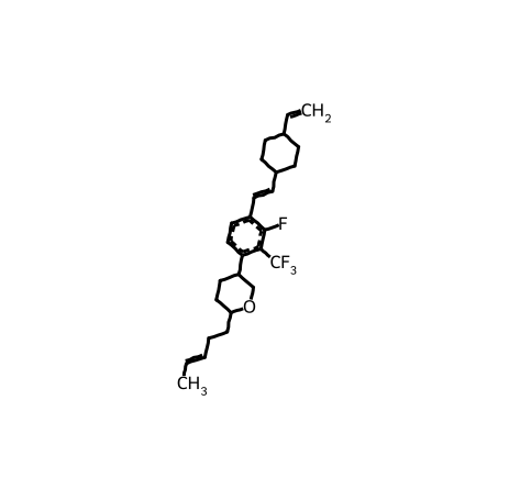 C=CC1CCC(/C=C/c2ccc(C3CCC(CC/C=C/C)OC3)c(C(F)(F)F)c2F)CC1